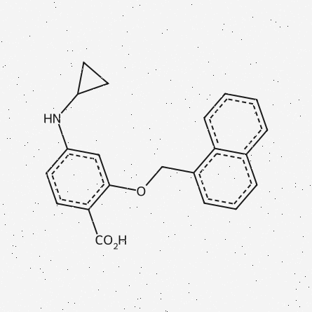 O=C(O)c1ccc(NC2CC2)cc1OCc1cccc2ccccc12